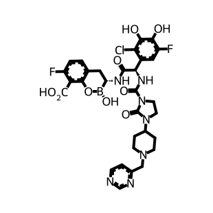 O=C(O)c1c(F)ccc2c1OB(O)[C@@H](NC(=O)[C@H](NC(=O)N1CCN(C3CCN(Cc4ccncn4)CC3)C1=O)c1cc(F)c(O)c(O)c1Cl)C2